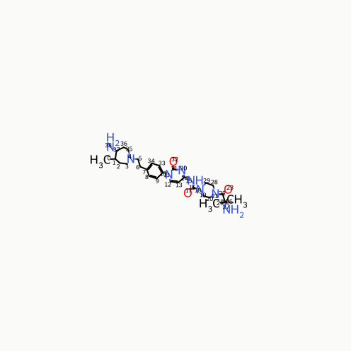 CC1CCN(CCc2ccc(-n3ccc(NC(=O)N4CCN(C(=O)C(C)(C)N)CC4)nc3=O)cc2)CC[C@H]1N